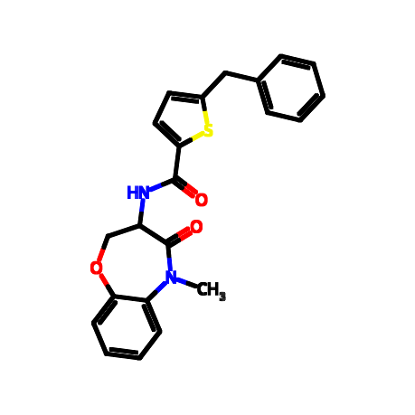 CN1C(=O)C(NC(=O)c2ccc(Cc3ccccc3)s2)COc2ccccc21